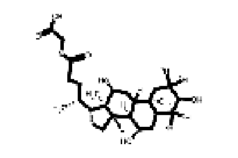 [2H]C1([2H])C[C@@]2(C)C(C[C@@H](O)[C@H]3[C@@H]4CC[C@H]([C@H](C)CCC(=O)NCC(=O)O)[C@@]4(C)[C@@H](O)C[C@@H]32)C([2H])([2H])[C@@H]1O